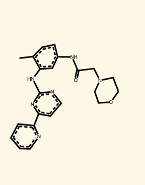 Cc1ccc(NC(=O)CN2CCOCC2)cc1Nc1nccc(-c2ccccn2)n1